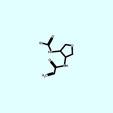 C=CC(=O)NC1COCC1NC(=O)CC